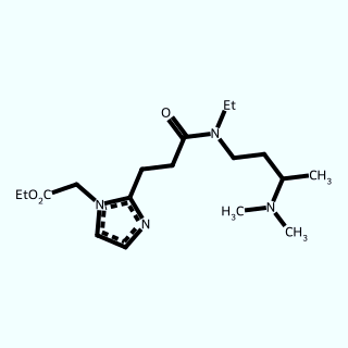 CCOC(=O)Cn1ccnc1CCC(=O)N(CC)CCC(C)N(C)C